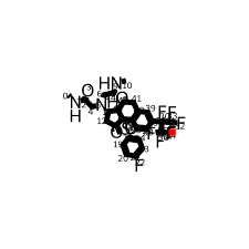 CNC(=O)CN(CC(=O)NC)[C@@H]1CC[C@@]2(S(=O)(=O)c3ccc(F)cc3)c3ccc(C(F)(C(F)(F)F)C(F)(F)F)cc3CC[C@@H]12